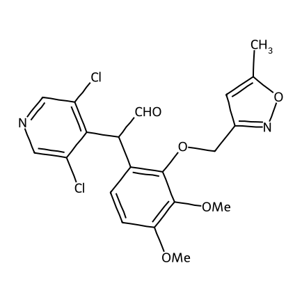 COc1ccc(C(C=O)c2c(Cl)cncc2Cl)c(OCc2cc(C)on2)c1OC